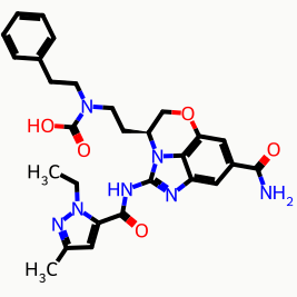 CCn1nc(C)cc1C(=O)Nc1nc2cc(C(N)=O)cc3c2n1[C@@H](CCN(CCc1ccccc1)C(=O)O)CO3